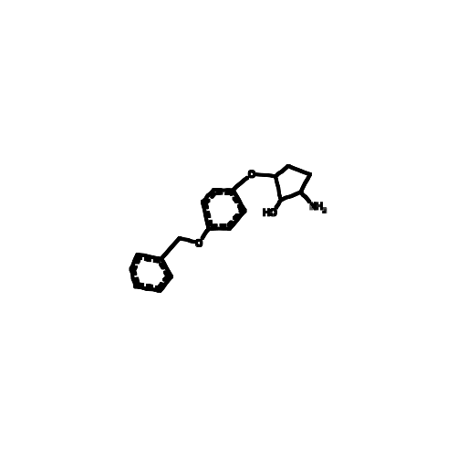 NC1CCC(Oc2ccc(OCc3ccccc3)cc2)C1O